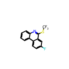 Fc1ccc2c(c1)c(SC(F)(F)F)nc1ccccc12